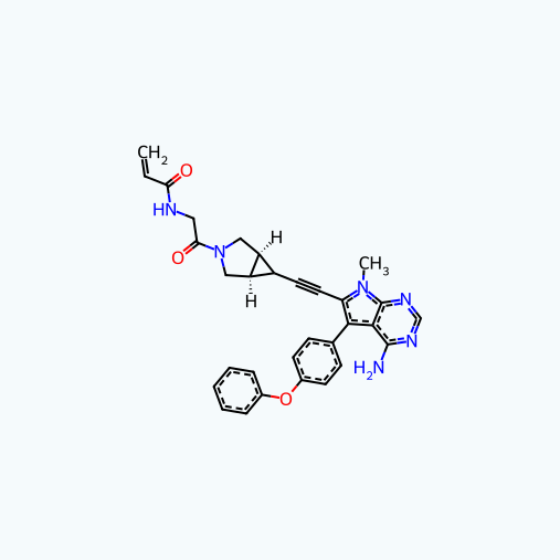 C=CC(=O)NCC(=O)N1C[C@@H]2C(C#Cc3c(-c4ccc(Oc5ccccc5)cc4)c4c(N)ncnc4n3C)[C@@H]2C1